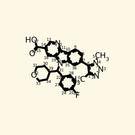 Cc1nnn(C)c1-c1ccc2c3ncc(C(=O)O)cc3n(C(c3ccc(F)cc3)C3CCOCC3)c2c1